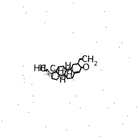 C#C[C@H]1CC[C@H]2[C@@H]3CCC4=CC(=O)C(C=C)C[C@@H]4[C@H]3CC[C@]12C